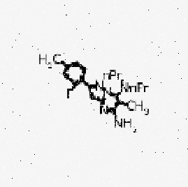 CCCN(CCC)c1c(C)c(N)nc2cc(-c3ccc(C)cc3F)nn12